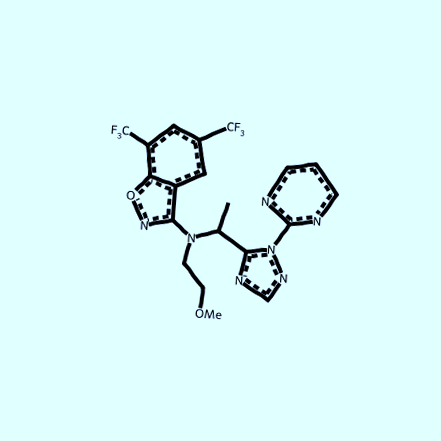 COCCN(c1noc2c(C(F)(F)F)cc(C(F)(F)F)cc12)C(C)c1ncnn1-c1ncccn1